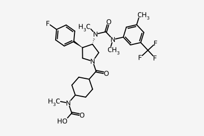 Cc1cc(N(C)C(=O)N(C)[C@@H]2CN(C(=O)C3CCC(N(C)C(=O)O)CC3)C[C@H]2c2ccc(F)cc2)cc(C(F)(F)F)c1